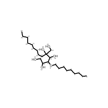 CCCCCCCCCOC(C(O)CO)C(O)C(O)(CO)CCCCCCCCC